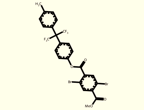 COC(=O)c1cc(Br)c(C(=O)Oc2ccc(C(c3ccc(C)cc3)(C(F)(F)F)C(F)(F)F)cc2)cc1Br